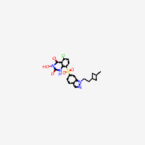 CC1CC(CCn2ncc3ccc(S(=O)(=O)c4ccc(Cl)c5c(=O)n(O)c(=O)[nH]c45)cc32)C1